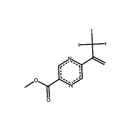 C=C(c1cnc(C(=O)OC)cn1)C(I)(I)I